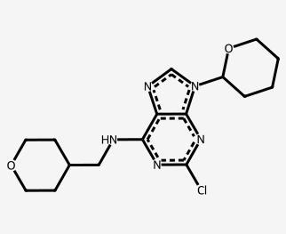 Clc1nc(NCC2CCOCC2)c2ncn(C3CCCCO3)c2n1